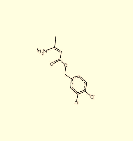 C/C(N)=C/C(=O)OCc1ccc(Cl)c(Cl)c1